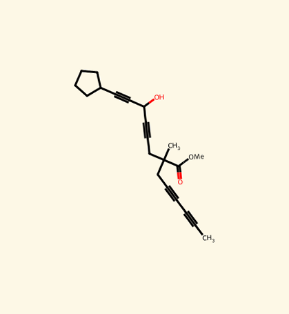 CC#CC#CCC(C)(CC#CC(O)C#CC1CCCC1)C(=O)OC